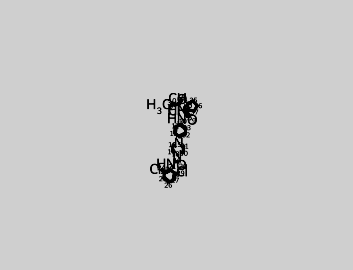 CC(C)(C)C(=O)NC1(C(=O)Nc2ccc(N3CCN(C(=O)Nc4c(Cl)cccc4Cl)CC3)cc2)CCCC1